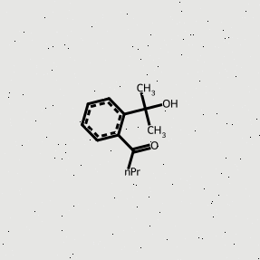 CCCC(=O)c1ccccc1C(C)(C)O